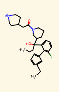 [CH2]CCC(O)(c1cccc(F)c1-c1cccc(CC)c1)C1CCCN(C(=O)CC2CCNCC2)C1